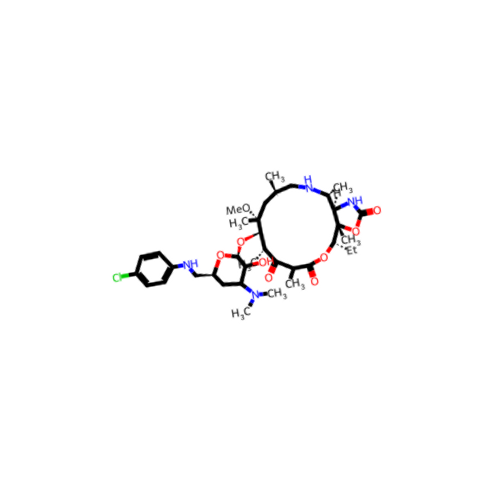 CC[C@@H]1OC(=O)C(C)C(=O)[C@H](C)[C@@H](O[C@@H]2O[C@H](CNc3ccc(Cl)cc3)CC(N(C)C)C2O)[C@](C)(OC)C[C@@H](C)CN[C@H](C)[C@H]2NC(=O)O[C@]12C